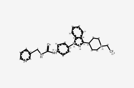 O=C(NCc1cccnc1)Nc1ccc(-n2nc(C3CCN(CC(F)(F)F)CC3)c3ccccc32)cc1